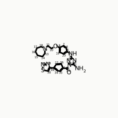 Nc1nc(Nc2ccc(OCCN3CCCCCC3)cc2)nn1C(=O)c1ccc(-c2csnn2)cc1